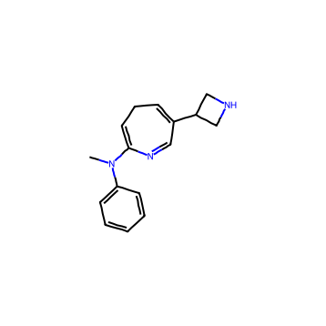 CN(C1=CCC=C(C2CNC2)C=N1)c1ccccc1